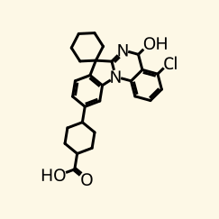 O=C(O)C1CCC(c2ccc3c(c2)N2C(=NC(O)c4c(Cl)cccc42)C32CCCCC2)CC1